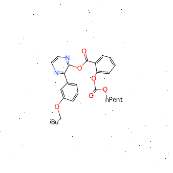 CCCCCOC(=O)Oc1ccccc1C(=O)Oc1nccnc1-c1cccc(OCC(C)CC)c1